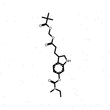 CCN(C)C(=O)Oc1ccc2c(c1)NCC2CCC(=O)OCOC(=O)C(C)(C)C